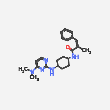 CC(=Cc1ccccc1)C(=O)N[C@H]1CC[C@@H](Nc2nccc(N(C)C)n2)CC1